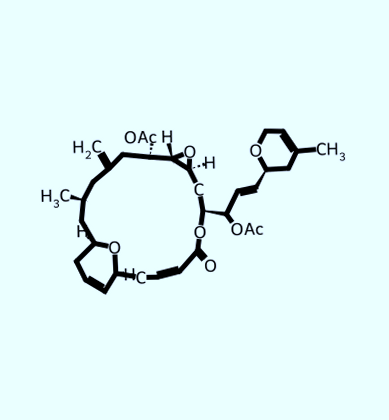 C=C1C[C@H](C)C[C@@H]2CC=C[C@@H](C/C=C\C(=O)O[C@H](C(/C=C/[C@@H]3CC(C)=CCO3)OC(C)=O)C[C@@H]3O[C@H]3[C@@H](OC(C)=O)C1)O2